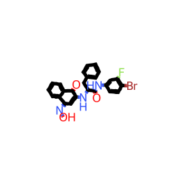 O=C1C(NC(Cc2ccccc2)C(=O)Nc2ccc(Br)c(F)c2)=CC(=NO)c2ccccc21